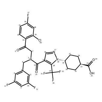 O=C(CN(Cc1cc(F)cc(F)c1)C(=O)c1cnn([C@H]2CC[C@H](C(=O)O)CC2)c1C(F)(F)F)c1ccc(F)cc1Cl